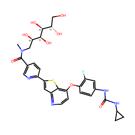 CN(C[C@@H](O)[C@H](O)[C@@H](O)[C@@H](O)CO)C(=O)c1ccc(-c2cc3nccc(Oc4ccc(NC(=O)NC5CC5)cc4F)c3s2)nc1